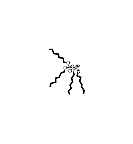 CCCCCCCOP(=O)(OCCCCCCC)OP(=O)(OCCCCCCC)OCCCCCCC